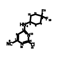 N#Cc1cc(NC2CCC(F)(F)CC2)nc(Cl)n1